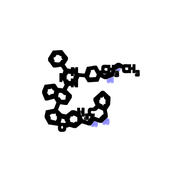 C/C=C\C=C/C1(C)C=CC(c2nc(-c3ccccc3)nc(-c3ccc(-c4cccc5oc6cc(/C=C/C=C\c7ccccc7C)ccc6c45)c4ccccc34)n2)=CC1